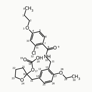 CCCOc1ccc(C(=O)NCc2cc(CC3(OC(=O)O)CCCO3)ccc2OCC)c(Cl)c1